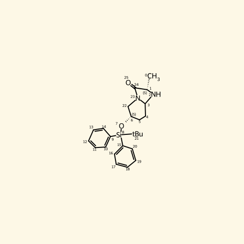 C[C@@H]1NC2CC[C@H](O[Si](c3ccccc3)(c3ccccc3)C(C)(C)C)CN2C1=O